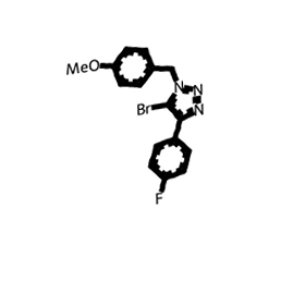 COc1ccc(Cn2nnc(-c3ccc(F)cc3)c2Br)cc1